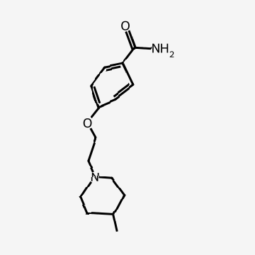 CC1CCN(CCOc2ccc(C(N)=O)cc2)CC1